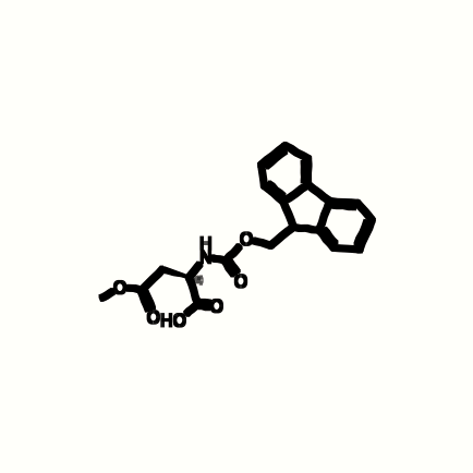 COC(=O)C[C@@H](NC(=O)OCC1c2ccccc2-c2ccccc21)C(=O)O